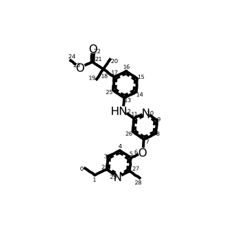 CCc1ccc(Oc2ccnc(Nc3cccc(C(C)(C)C(=O)OC)c3)c2)c(C)n1